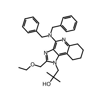 CCOCc1nc2c(N(Cc3ccccc3)Cc3ccccc3)nc3c(c2n1CC(C)(C)O)CCCC3